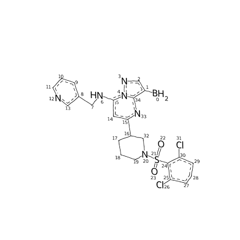 Bc1cnn2c(NCc3cccnc3)cc(C3CCCN(S(=O)(=O)c4c(Cl)cccc4Cl)C3)nc12